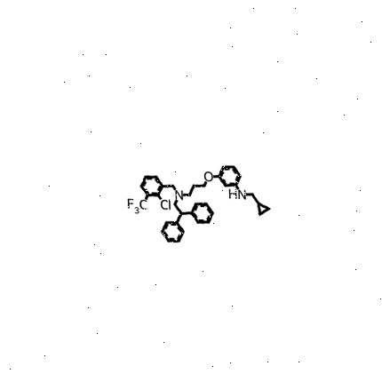 FC(F)(F)c1cccc(CN(CCCOc2cccc(NCC3CC3)c2)CC(c2ccccc2)c2ccccc2)c1Cl